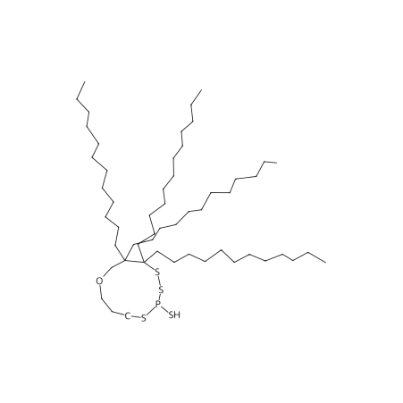 CCCCCCCCCCCCC1(CCCCCCCCCCCC)COCCCSP(S)SSC1(CCCCCCCCCCCC)CCCCCCCCCCCC